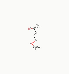 C=C(Br)CCCOOC